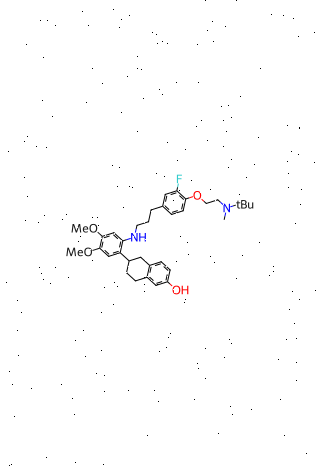 COc1cc(NCCCc2ccc(OCCN(C)C(C)(C)C)c(F)c2)c(C2CCc3cc(O)ccc3C2)cc1OC